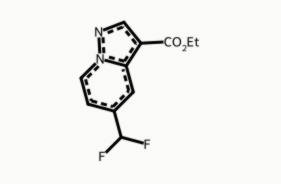 CCOC(=O)c1cnn2ccc(C(F)F)cc12